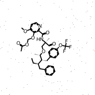 CC[C@H](Cc1ccccc1)[C@@H](Cc1ccc(OC(F)(F)F)cc1)[C@H](C)OC[C@](C)(C=O)NC(=O)c1nccc(OC)c1OCOC(C)=O